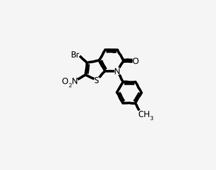 Cc1ccc(-n2c(=O)ccc3c(Br)c([N+](=O)[O-])sc32)cc1